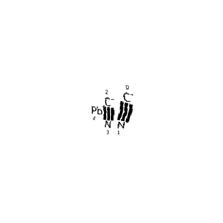 [C-]#N.[C-]#N.[Pb+2]